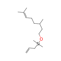 C=CC[Si](C)(C)OCCC(C)CCC=C(C)C